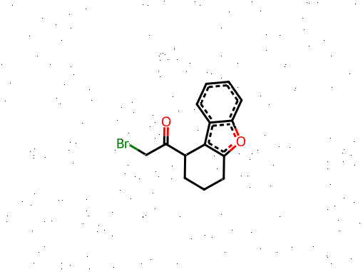 O=C(CBr)C1CCCc2oc3ccccc3c21